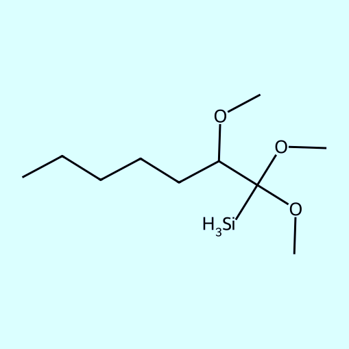 CCCCCC(OC)C([SiH3])(OC)OC